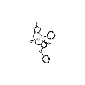 O=S(=O)(Cc1n[nH]cc1Oc1ccccc1)Cc1n[nH]cc1Oc1ccccc1